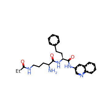 CCC(=O)NCCC[C@H](N)C(=O)N[C@@H](CCc1ccccc1)C(=O)Nc1cnc2ccccc2c1